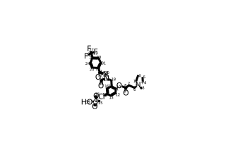 CC[N+](C)(CC)CCC(=O)Oc1ccc(Cl)cc1Cn1nc(-c2ccc(C(F)(F)F)cc2)oc1=O.CS(=O)(=O)O